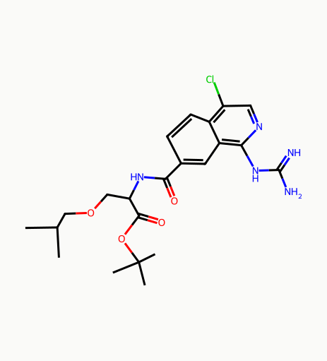 CC(C)COCC(NC(=O)c1ccc2c(Cl)cnc(NC(=N)N)c2c1)C(=O)OC(C)(C)C